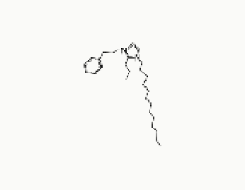 CCCCCCCCCCCCCn1cc[n+](CCCc2ccccc2)c1CCC